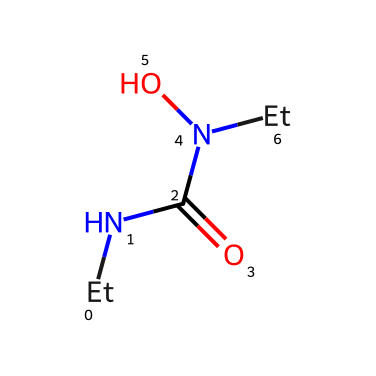 CCNC(=O)N(O)CC